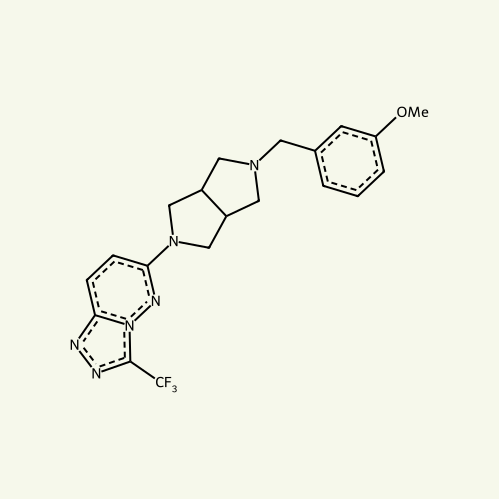 COc1cccc(CN2CC3CN(c4ccc5nnc(C(F)(F)F)n5n4)CC3C2)c1